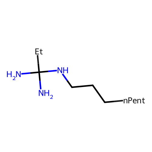 CCCCCCCCNC(N)(N)CC